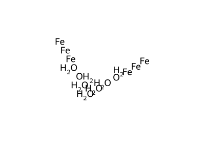 O.O.O.O.O.O.O.[Fe].[Fe].[Fe].[Fe].[Fe].[Fe]